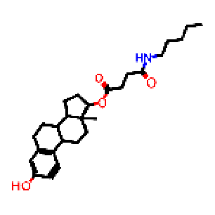 CCCCCNC(=O)CCC(=O)OC1CCC2C3CCc4cc(O)c#cc4C3CCC12C